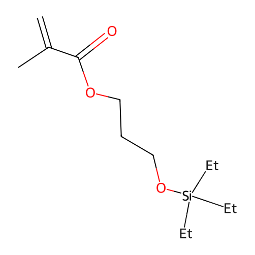 C=C(C)C(=O)OCCCO[Si](CC)(CC)CC